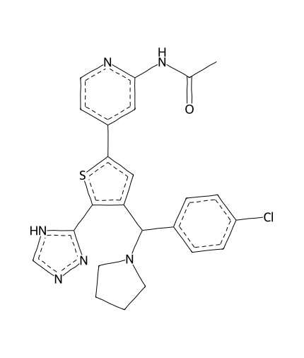 CC(=O)Nc1cc(-c2cc(C(c3ccc(Cl)cc3)N3CCCC3)c(-c3nnc[nH]3)s2)ccn1